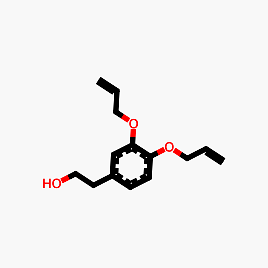 C=CCOc1ccc(CCO)cc1OCC=C